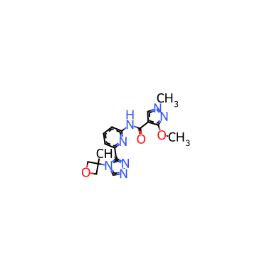 COc1nn(C)cc1C(=O)Nc1cccc(-c2nncn2C2(C)COC2)n1